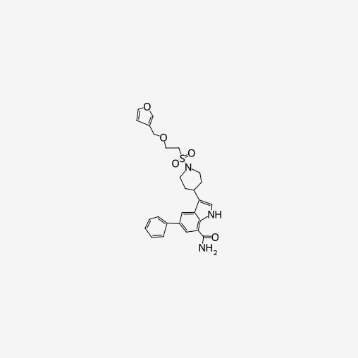 NC(=O)c1cc(-c2ccccc2)cc2c(C3CCN(S(=O)(=O)CCOCc4ccoc4)CC3)c[nH]c12